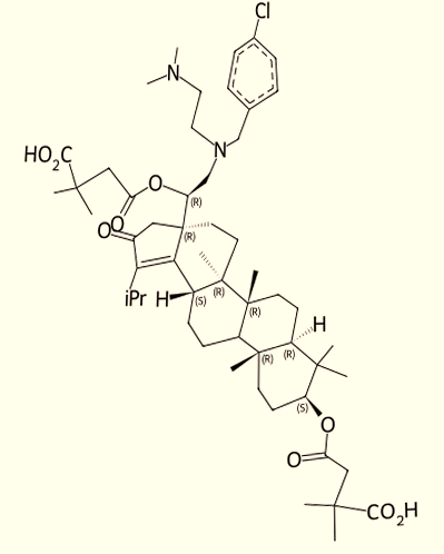 CC(C)C1=C2[C@H]3CCC4[C@@]5(C)CC[C@H](OC(=O)CC(C)(C)C(=O)O)C(C)(C)[C@@H]5CC[C@@]4(C)[C@]3(C)CC[C@@]2([C@H](CN(CCN(C)C)Cc2ccc(Cl)cc2)OC(=O)CC(C)(C)C(=O)O)CC1=O